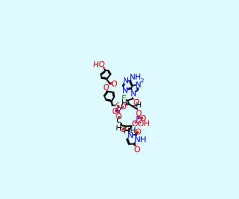 Nc1ncnc2c1ncn2[C@@H]1O[C@@H]2COP(=O)(O)O[C@H]3C(n4ccc(=O)[nH]c4=O)O[C@H](COP(=O)(SCc4ccc(OC(=O)c5ccc(O)cc5)cc4)O[C@H]2[C@H]1F)[C@H]3F